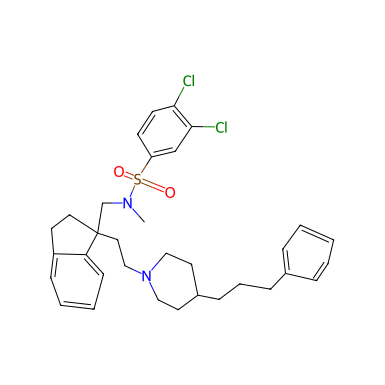 CN(CC1(CCN2CCC(CCCc3ccccc3)CC2)CCc2ccccc21)S(=O)(=O)c1ccc(Cl)c(Cl)c1